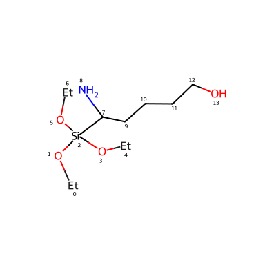 CCO[Si](OCC)(OCC)C(N)CCCCO